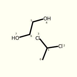 CC(Cl)Cl.OCCO